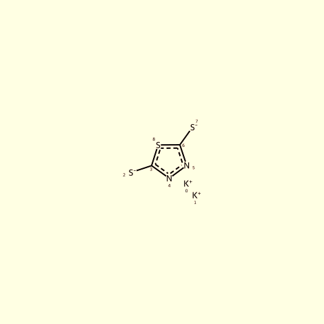 [K+].[K+].[S-]c1nnc([S-])s1